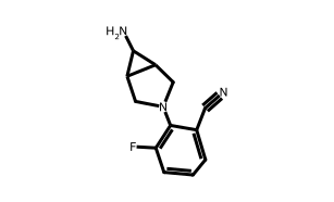 N#Cc1cccc(F)c1N1CC2C(N)C2C1